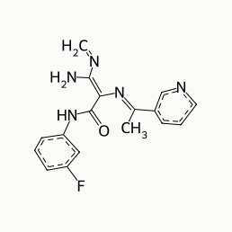 C=N/C(N)=C(\N=C(/C)c1cccnc1)C(=O)Nc1cccc(F)c1